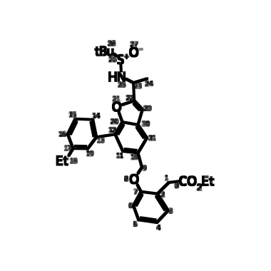 CCOC(=O)Cc1ccccc1OCc1cc(-c2cccc(CC)c2)c2oc(C(C)N[S+]([O-])C(C)(C)C)cc2c1